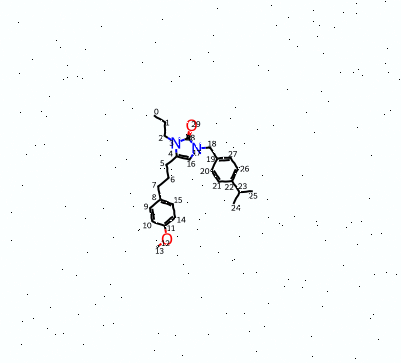 CCCn1c(CCCc2ccc(OC)cc2)cn(Cc2ccc(C(C)C)cc2)c1=O